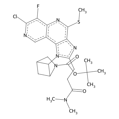 CSc1nc2c(F)c(Cl)ncc2c2c1nc(CCC(=O)N(C)C)n2C1C2CC1N(C(=O)OC(C)(C)C)C2